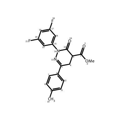 COC(=O)C1CC(c2ccc(C)cc2)=NN(c2cc(F)cc(F)c2)C1=O